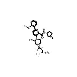 CCOc1ncccc1-c1ccc(N2CCN(C(=O)O[C@H](C(C)(C)C)C(F)(F)F)C[C@H]2CC)c(C(=O)N[C@@H]2CCN(C)C2)n1